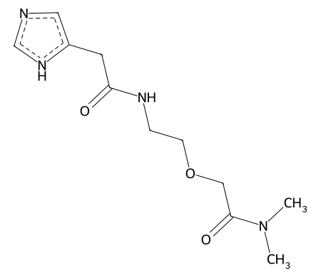 CN(C)C(=O)COCCNC(=O)Cc1cnc[nH]1